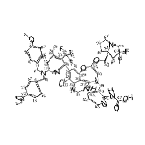 COc1ccc(CN(Cc2ccc(OC)cc2)c2cc(C)c(C(F)(F)F)c(-c3cc4c5c(c3Cl)=NCNC=5N(Cc3cccnc3NC(=O)O)C=C(OC[C@@]35CCCN3CC(F)(F)C5)O4)n2)cc1